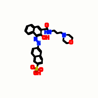 O=C(NCCCN1CCOCC1)c1cc2ccccc2c(N=Nc2ccc3cc(S(=O)(=O)O)ccc3c2)c1O